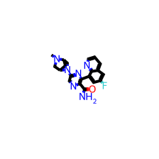 CN1CC2CC1CN2c1cnc(C(N)=O)c(-c2cc(F)cc3cccnc23)n1